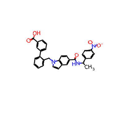 CC(NC(=O)c1ccc2c(ccn2Cc2ccccc2-c2cccc(C(=O)O)c2)c1)c1ccc([N+](=O)[O-])cc1